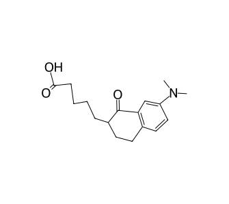 CN(C)c1ccc2c(c1)C(=O)C(CCCCC(=O)O)CC2